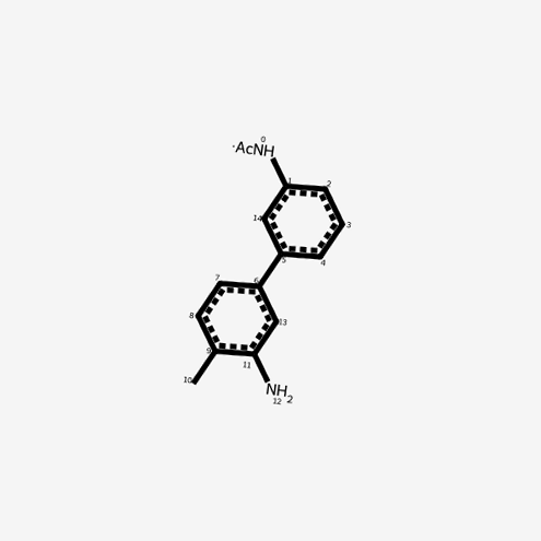 CC(=O)[N]c1cccc(-c2ccc(C)c(N)c2)c1